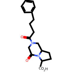 O=C(O)C1CCC2CN(C(=O)CCCc3ccccc3)CC(=O)N21